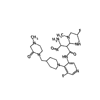 CN1CCN(CC2CCN(c3c(F)cncc3NC(=O)C(C(N)N=O)C3NCC(F)CN3C)CC2)C(=O)C1